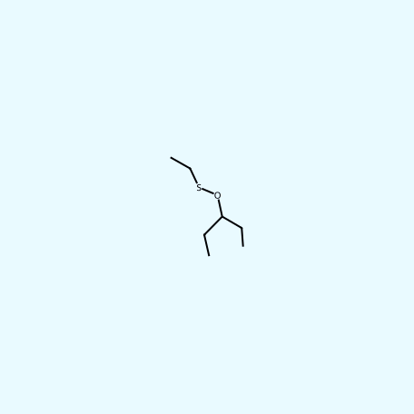 CCSOC(CC)CC